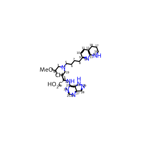 CO[C@H](C)CN(CCCCc1ccc2c(n1)NCCC2)CC[C@H](Nc1ncnc2cn[nH]c12)C(=O)O